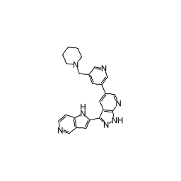 c1cc2[nH]c(-c3n[nH]c4ncc(-c5cncc(CN6CCCCC6)c5)cc34)cc2cn1